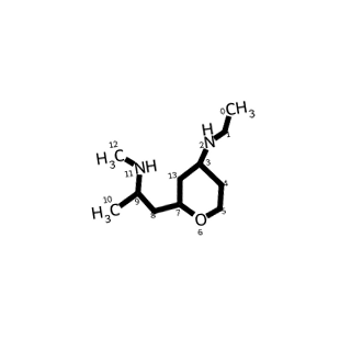 CCNC1CCOC(CC(C)NC)C1